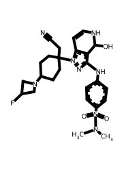 CN(C)S(=O)(=O)c1ccc(Nc2nn(C3(CC#N)CCC(N4CC(F)C4)CC3)c3c2C(O)NC=C3)cc1